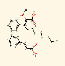 CCCCCCCCC(=C(OC)C(=O)O)c1ccccc1.O=C(O)C=Cc1ccccc1